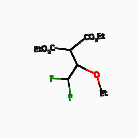 CCOC(=O)C(C(=O)OCC)C(OCC)C(F)F